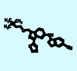 C[Si](C)(C)CCOCn1nc(-c2cnco2)c2cc(NC3CCc4cc(C#N)ccc43)ccc21